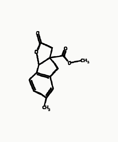 COC(=O)C12CC(=O)OC1c1ccc(C)cc1C2